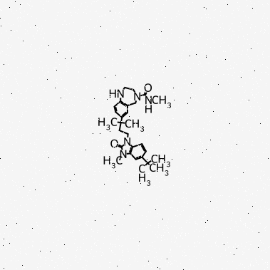 CNC(=O)N1CCNc2ccc(C(C)(C)CCn3c(=O)n(C)c4cc(C(C)(C)C)ccc43)cc2C1